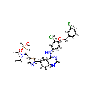 CCN(CC)[C@H](CS(C)(=O)=O)c1cnc(-c2ccc3ncnc(Nc4ccc(OCc5cccc(F)c5)c(Cl)c4)c3c2)s1